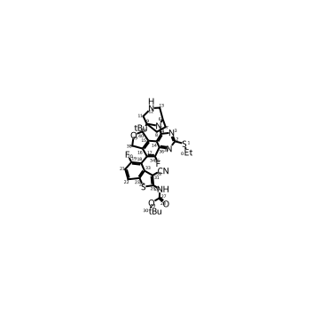 CCSc1nc(N2C3CCC2(C(C)(C)C)CNC3)c2c3c(c(-c4c(F)ccc5sc(NC(=O)OC(C)(C)C)c(C#N)c45)c(F)c2n1)COC3